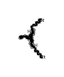 CC/C=C\C/C=C\C/C=C\C/C=C\C/C=C\C/C=C\CCC(=O)N[C@@H](C)C(=O)Oc1ccc(-c2sc3cc(OC(=O)[C@H](C)NC(=O)CC/C=C\C/C=C\C/C=C\C/C=C\C/C=C\C/C=C\CC)ccc3c2C(=O)c2ccc(OCCN3CCOCC3)cc2)cc1